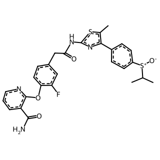 Cc1sc(NC(=O)Cc2ccc(Oc3ncccc3C(N)=O)c(F)c2)nc1-c1ccc([S+]([O-])C(C)C)cc1